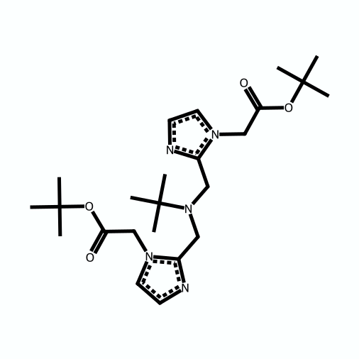 CC(C)(C)OC(=O)Cn1ccnc1CN(Cc1nccn1CC(=O)OC(C)(C)C)C(C)(C)C